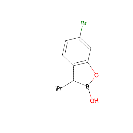 CC(C)C1B(O)Oc2cc(Br)ccc21